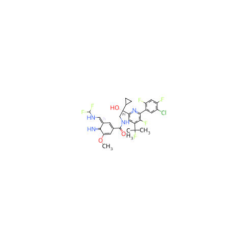 COC1=CC(C(=O)NC[C@](O)(c2cc(C(C)(C)F)c(F)c(-c3cc(Cl)c(F)cc3F)n2)C2CC2)=C/C(=C/NC(F)F)C1=N